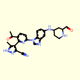 CC(=O)c1ccc(-n2cnc3cc(NC4CCNC(C=O)C4)ccc32)nc1-c1c(C#N)n[nH]c1C